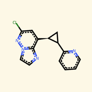 Clc1cc([C@H]2CC2c2ccccn2)c2nccn2n1